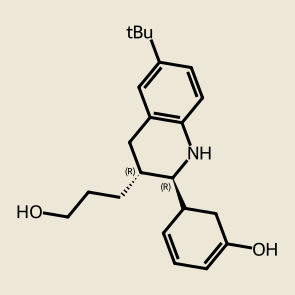 CC(C)(C)c1ccc2c(c1)C[C@@H](CCCO)[C@H](C1C=CC=C(O)C1)N2